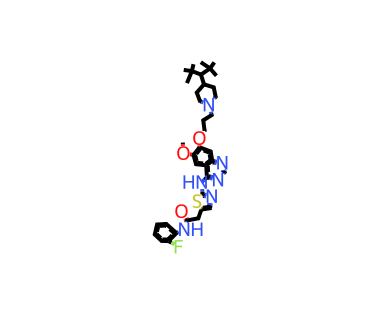 COc1cc2c(Nc3ncc(CC(=O)Nc4ccccc4F)s3)ncnc2cc1OCCCN1CCC(C(C(C)(C)C)C(C)(C)C)CC1